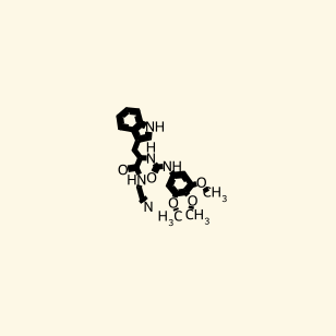 COc1cc(NC(=O)NC(Cc2c[nH]c3ccccc23)C(=O)NCC#N)cc(OC)c1OC